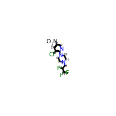 O=[N+]([O-])c1cnc(N2CCN(CC(F)C(F)F)CC2)c(Cl)c1